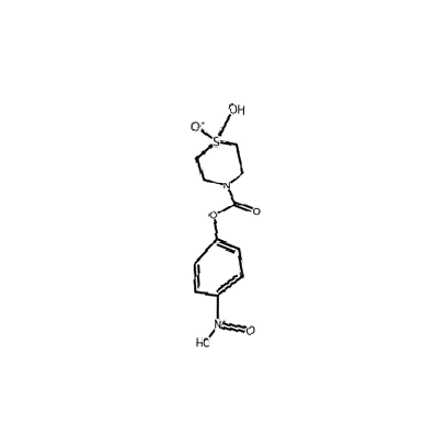 O=C(Oc1ccc([N+](=O)O)cc1)N1CCS([O-])(O)CC1